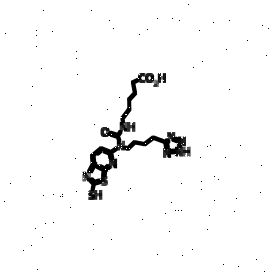 O=C(O)CCCCCNC(=O)N(CCCCc1nn[nH]n1)c1ccc2nc(S)sc2n1